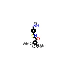 CCNCc1ccc(-c2nc(C(=O)c3cc(OC)c(OC)c(OC)c3)cs2)cc1